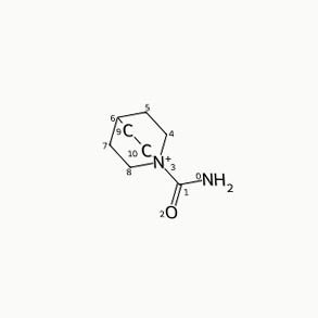 NC(=O)[N+]12CCC(CC1)CC2